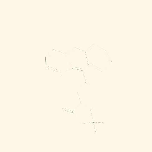 CC1(C)CC(SCc2c3ccccc3cc3ccccc23)C(=O)O1